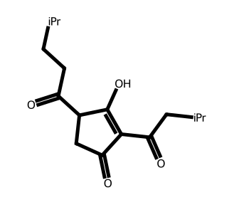 CC(C)CCC(=O)C1CC(=O)C(C(=O)CC(C)C)=C1O